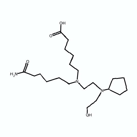 NC(=O)CCCCCN(CCCCCC(=O)O)CCN(CCO)C1CCCC1